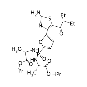 CCC(CC)C(=O)c1sc(N)nc1-c1ccc(P(=O)(N[C@@H](C)C(=O)OC(C)C)N[C@@H](C)C(=O)OC(C)C)o1